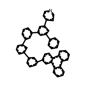 c1ccc(-c2cc(-c3ccncc3)cc(-c3cccc(-c4cccc(-c5cccc(-c6ccc7c8ccccc8c8ccccc8c7c6)c5)c4)c3)c2)cc1